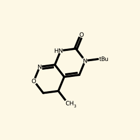 CC1CON=C2NC(=O)N(C(C)(C)C)C=C21